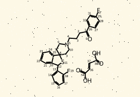 O=C(CCCN1CCC2(CC1)SC(c1ccccc1F)c1ccccc12)c1ccc(F)cc1.O=C(O)C=CC(=O)O